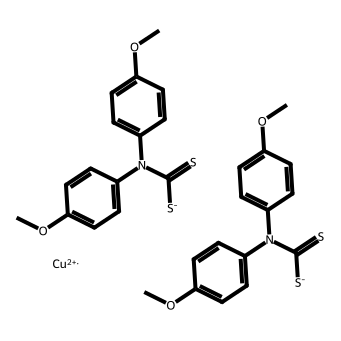 COc1ccc(N(C(=S)[S-])c2ccc(OC)cc2)cc1.COc1ccc(N(C(=S)[S-])c2ccc(OC)cc2)cc1.[Cu+2]